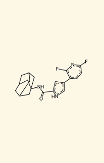 O=C(NC12CC3CC(CC(C3)C1)C2)c1cc(-c2ccc(F)nc2F)c[nH]1